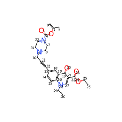 C=C(C)OC(=O)N1CCN(CC#Cc2ccc3c(c2)c(=O)c(C(=O)OCC)cn3CC)CC1